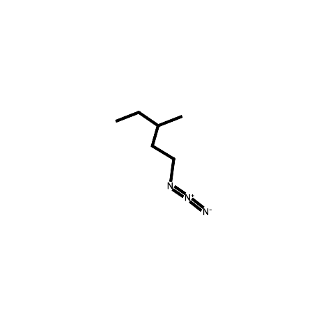 CCC(C)CCN=[N+]=[N-]